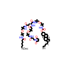 CCCCCCCCCCCCCCCC(=O)NCC(C)(C)COCC(C)(C)CNC(=O)CC[C@H](NC(=O)CC(C)(C)COCC(C)(C)CNC(=O)CCN1C(=O)C=CC1=O)C(=O)NCC(C)(C)COCC(C)(C)CNC(=O)O[C@H]1CC[C@@]2(C)C(=CC[C@H]3[C@@H]4CC[C@H]([C@H](C)CCCC(C)C)[C@@]4(C)CC[C@@H]32)C1